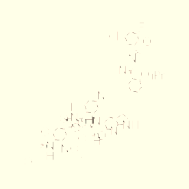 CC(C)Oc1ccccc1[C@@H]1CN([C@@H]2CCOc3c(F)cc(Cl)cc32)CCN1C1CC2(CCN(c3ccc(C(=O)NS(=O)(=O)c4cc5c(c([N+](=O)[O-])c4)N[C@H](C4CCOCC4)CO5)c(N4c5cc6cc[nH]c6nc5O[C@H]5COCC[C@@H]54)c3)CC2)C1